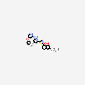 Cc1cc(Nc2cc(OC3CCCC3)ccn2)nc(-c2cnc([C@]3(O)CCCc4cc(C(=O)O)ccc43)s2)c1